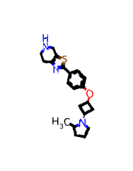 CC1CCCN1[C@H]1C[C@H](Oc2ccc(-c3nc4c(s3)CNCC4)cc2)C1